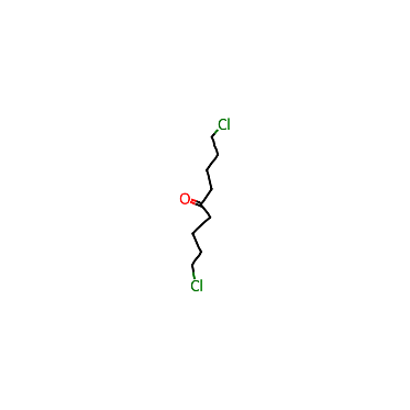 O=C(CCCCCl)CCCCCl